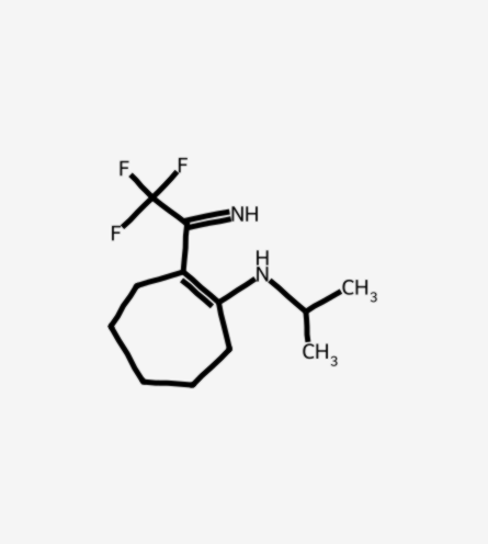 CC(C)NC1=C(C(=N)C(F)(F)F)CCCCC1